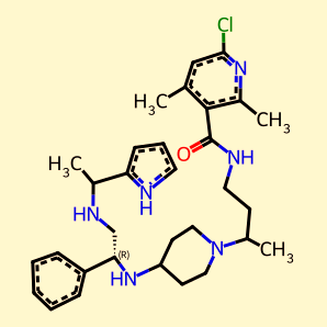 Cc1cc(Cl)nc(C)c1C(=O)NCCC(C)N1CCC(N[C@@H](CNC(C)c2ccc[nH]2)c2ccccc2)CC1